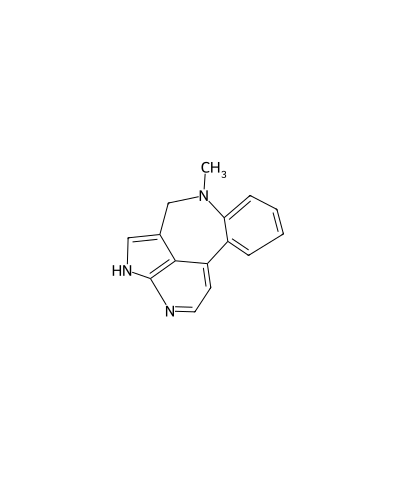 CN1Cc2c[nH]c3nccc(c23)-c2ccccc21